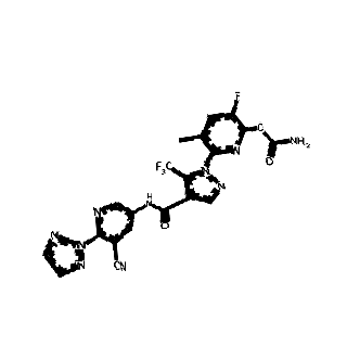 Cc1cc(F)c(OC(N)=O)nc1-n1ncc(C(=O)Nc2cnc(-n3nccn3)c(C#N)c2)c1C(F)(F)F